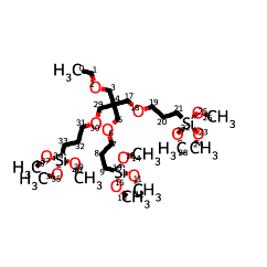 CCOCC(COCCC[Si](OC)(OC)OC)(COCCC[Si](OC)(OC)OC)COCCC[Si](OC)(OC)OC